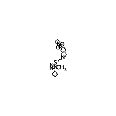 Cn1c(SCCCN2CCc3ccc(S(=O)(=O)N4CCCC4)cc3C2)nnc1-c1ccccc1